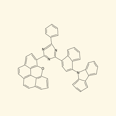 c1ccc(-c2nc(-c3ccc4ccc5ccc6cccc7c6c5c4c3O7)nc(-c3ccc(-n4c5ccccc5c5ccccc54)c4ccccc34)n2)cc1